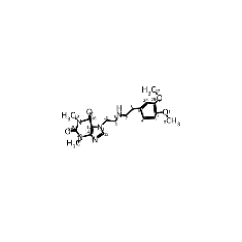 COc1ccc(CCNCCn2cnc3c2c(=O)n(C)c(=O)n3C)cc1OC